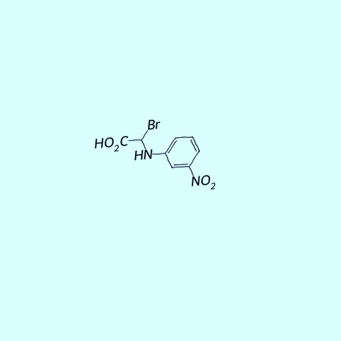 O=C(O)C(Br)Nc1cccc([N+](=O)[O-])c1